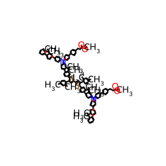 COC(=O)CCc1ccc(-c2ccc(N(c3ccc(-c4ccc5c(c4)C(C)(C)c4ccccc4-5)cc3)c3ccc4c(c3)C(C)(C)c3cc(-c5sc(-c6cc(-c7ccc(C)cc7C)c(-c7ccc8c(c7)C(C)(C)c7cc(N(c9ccc(-c%10ccc(CCC(=O)OC)cc%10)cc9)c9ccc(-c%10ccc%11c(c%10)C(C)(C)c%10ccccc%10-%11)cc9)ccc7-8)s6)cc5-c5ccc(C)cc5C)ccc3-4)cc2)cc1